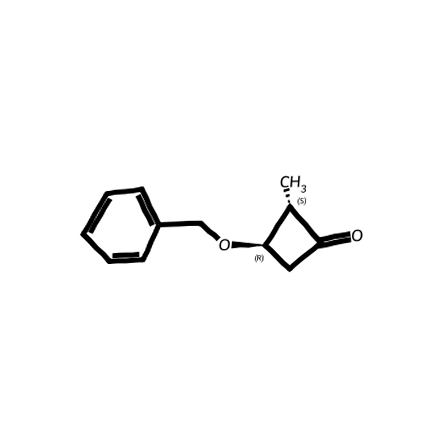 C[C@@H]1C(=O)C[C@H]1OCc1ccccc1